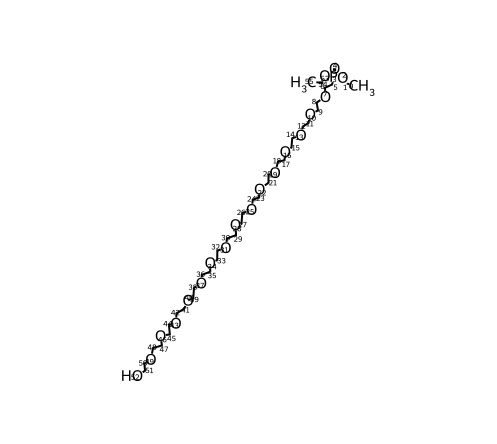 CCOP(=O)(CCOCCOCCOCCOCCOCCOCCOCCOCCOCCOCCOCCOCCOCCOCCOCCO)OCC